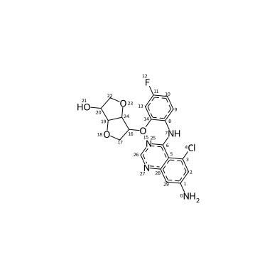 Nc1cc(Cl)c2c(Nc3ccc(F)cc3OC3COC4C(O)COC34)ncnc2c1